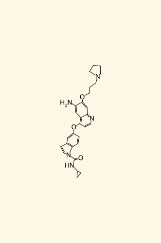 Nc1cc2c(Oc3ccc4c(ccn4C(=O)NC4CC4)c3)ccnc2cc1OCCCN1CCCC1